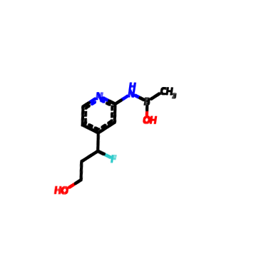 CB(O)Nc1cc(C(F)CCO)ccn1